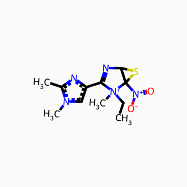 CC[N+]1(C)C(c2cn(C)c(C)n2)=NC2SC21[N+](=O)[O-]